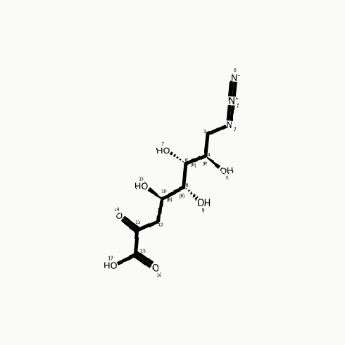 [N-]=[N+]=NC[C@@H](O)[C@@H](O)[C@H](O)[C@H](O)CC(=O)C(=O)O